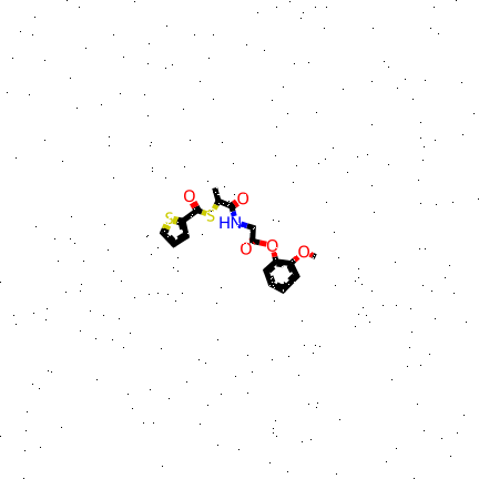 COc1ccccc1OC(=O)CNC(=O)C(C)SC(=O)c1cccs1